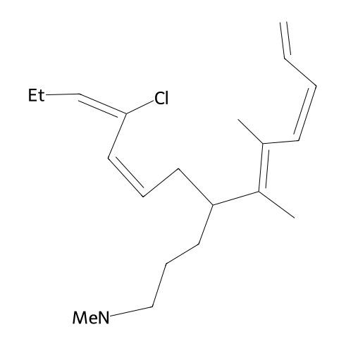 C=C/C=C\C(C)=C(/C)C(C/C=C\C(Cl)=C/CC)CCCNC